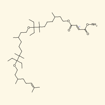 CCC(CC)(OCCC(C)CCC=C(C)C)C(C)(C)CCCC(C)CCOC(CC)(CC)C(C)(C)CCCC(C)CCOC(=O)/C=C/C(=O)ON